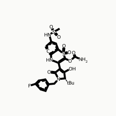 CC(C)(C)[C@H]1C(O)=C(C2=C(OC(N)=O)S(=O)(=O)c3cc(NS(C)(=O)=O)ccc3N2)C(=O)N1Cc1ccc(F)cc1